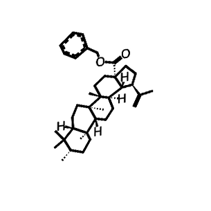 C=C(C)[C@@H]1CC[C@]2(C(=O)OCc3ccccc3)CC[C@]3(C)[C@H](CC[C@@H]4[C@@]5(C)CC[C@H](C)C(C)(C)[C@@H]5CC[C@]43C)[C@@H]12